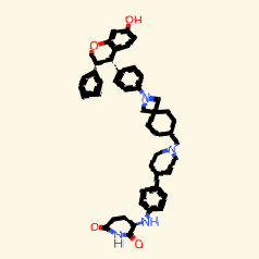 O=C1CC[C@@H](Nc2ccc(C3CCN(CC4CCC5(CC4)CN(c4ccc([C@H]6c7ccc(O)cc7OC[C@H]6c6ccccc6)cc4)C5)CC3)cc2)C(=O)N1